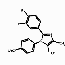 COc1ccc(-n2c(-c3ccc(Br)c(F)c3)nc(C)c2C(=O)O)cc1